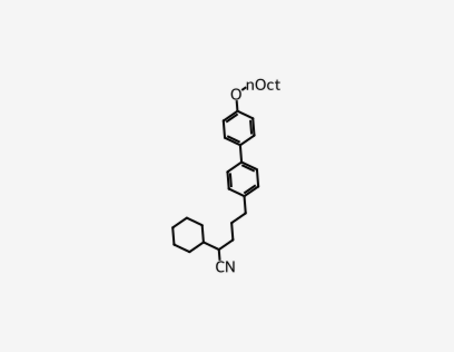 CCCCCCCCOc1ccc(-c2ccc(CCCC(C#N)C3CCCCC3)cc2)cc1